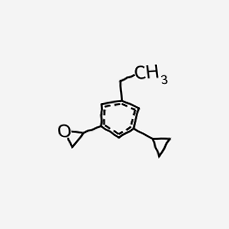 CCc1cc(C2CC2)cc(C2CO2)c1